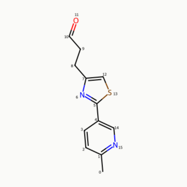 Cc1ccc(-c2nc(CCC=O)cs2)cn1